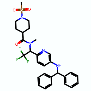 CN(C(=O)C1CCN(S(C)(=O)=O)CC1)C(c1ccc(NC(c2ccccc2)c2ccccc2)cn1)C(F)(F)F